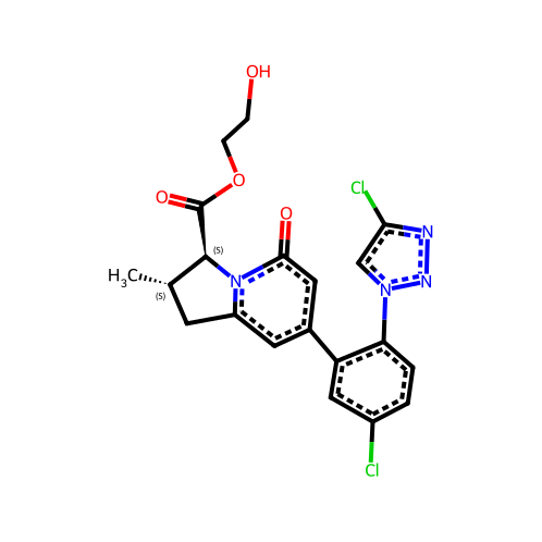 C[C@H]1Cc2cc(-c3cc(Cl)ccc3-n3cc(Cl)nn3)cc(=O)n2[C@@H]1C(=O)OCCO